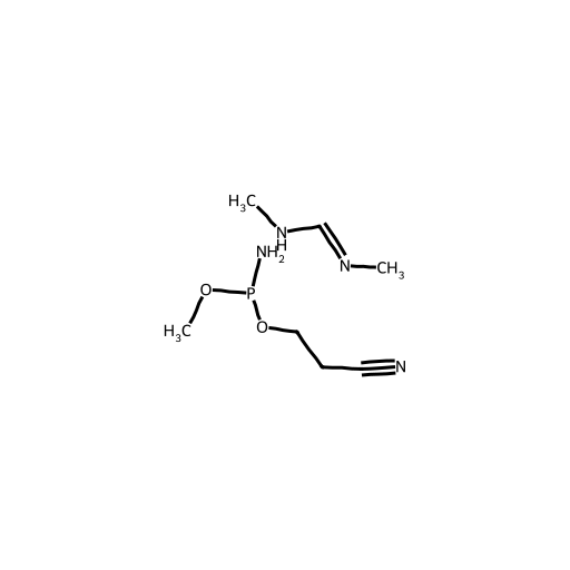 CN=CNC.COP(N)OCCC#N